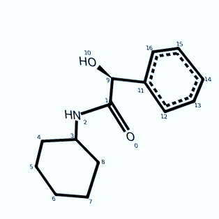 O=C(NC1CCCCC1)[C@@H](O)c1ccccc1